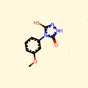 COc1cccc(-n2c(S)n[nH]c2=O)c1